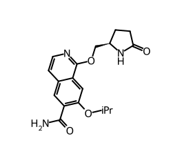 CC(C)Oc1cc2c(OC[C@H]3CCC(=O)N3)nccc2cc1C(N)=O